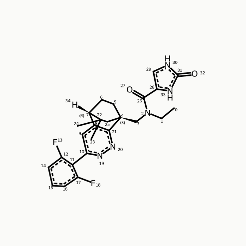 CCN(C[C@@]12CC[C@@H](c3cc(-c4c(F)cccc4F)nnc31)C(C)(C)C2)C(=O)c1c[nH]c(=O)[nH]1